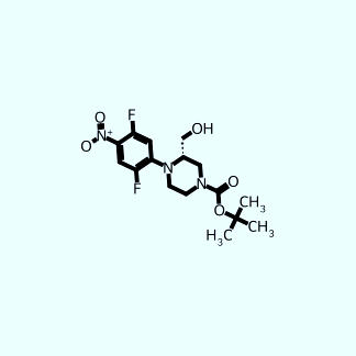 CC(C)(C)OC(=O)N1CCN(c2cc(F)c([N+](=O)[O-])cc2F)[C@H](CO)C1